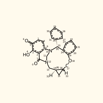 O=C1c2c(O)c(=O)ccn2N2CN1C[C@@H]1C[C@H]1COc1ccccc1[C@H]2c1ccccc1